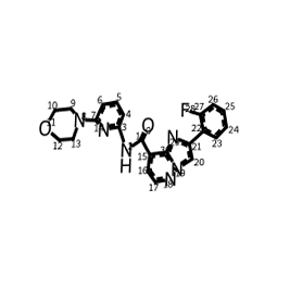 O=C(Nc1cccc(N2CCOCC2)n1)c1ccnn2cc(-c3ccccc3F)nc12